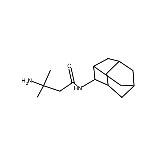 CC(C)(N)CC(=O)NC1C2CC3CC(C2)CC1C3